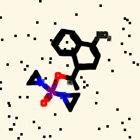 C[C@@H](OP(=O)(N1CC1)N1CC1)c1ccc([N+](=O)[O-])c2ccccc12